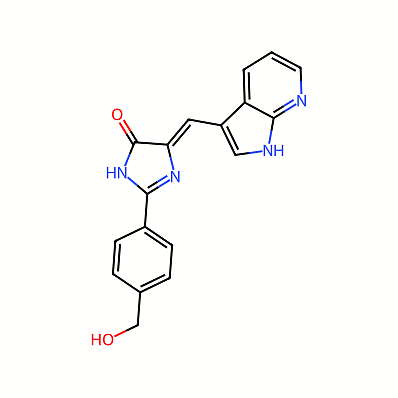 O=C1NC(c2ccc(CO)cc2)=NC1=Cc1c[nH]c2ncccc12